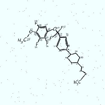 CCCCC1CCC(c2ccc(C(F)(F)Oc3cc(F)c(OC)c(F)c3F)cc2)CC1